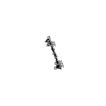 Cc1cc(=O)nc(NC(=O)NCCCOCCOCCOCCCNC(=O)Nc2nc(=O)cc(C)[nH]2)[nH]1